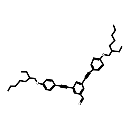 CCCCCC(CC)COc1ccc(C#Cc2cc(C#Cc3ccc(OCC(CC)CCCCC)cc3)cc(C=O)c2)cc1